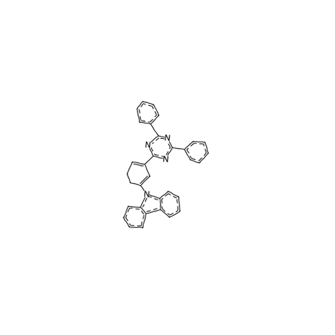 C1=C(c2nc(-c3ccccc3)nc(-c3ccccc3)n2)C=C(n2c3ccccc3c3ccccc32)CC1